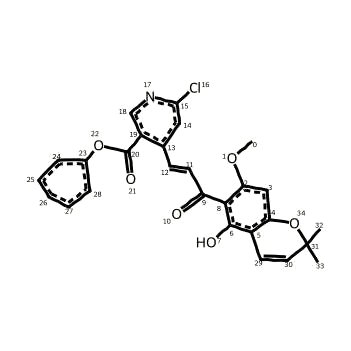 COc1cc2c(c(O)c1C(=O)C=Cc1cc(Cl)ncc1C(=O)Oc1ccccc1)C=CC(C)(C)O2